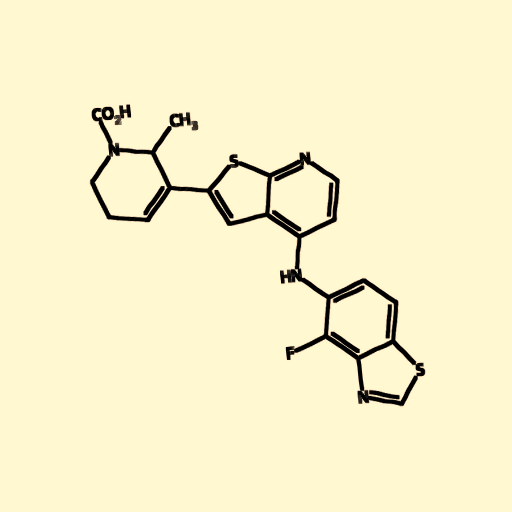 CC1C(c2cc3c(Nc4ccc5scnc5c4F)ccnc3s2)=CCCN1C(=O)O